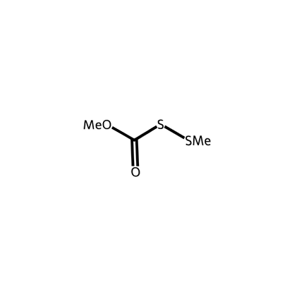 COC(=O)SSC